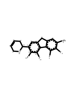 CCCc1cc2c(c(F)c1F)-c1c(cc(C3CC=CCO3)c(F)c1F)C2